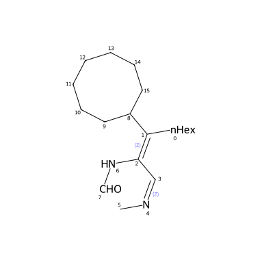 CCCCCC/C(=C(\C=N/C)NC=O)C1CCCCCCC1